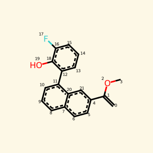 C=C(OC)c1ccc2cccc(-c3cccc(F)c3O)c2c1